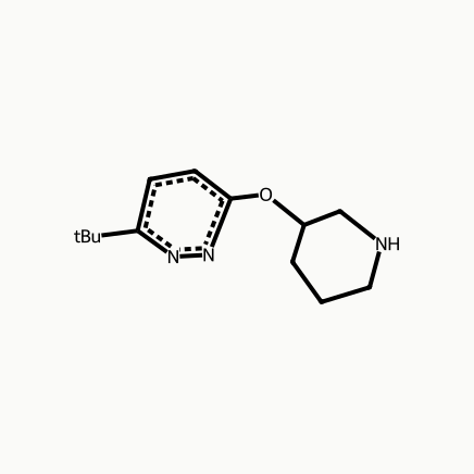 CC(C)(C)c1ccc(OC2CCCNC2)nn1